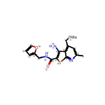 COCc1cc(C)nc2sc(C(=O)NCc3ccco3)c(N)c12